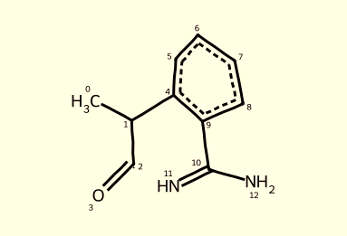 CC([C]=O)c1ccccc1C(=N)N